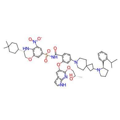 CC(C)c1ccccc1[C@H]1CCCN1C1CC2(CCN(c3ccc(C(=O)NS(=O)(=O)c4cc5c(c([N+](=O)[O-])c4)N[C@@H](C4CCC(C)(C)CC4)CO5)c(Oc4cc5cc[nH]c5nc4OC[C@H](C)O)c3)CC2)C1